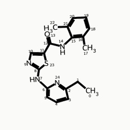 CCc1cccc(Nc2ncc(C(=O)Nc3c(C)cccc3C)s2)n1